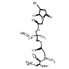 CN(CC(=O)OCC(C)(COC(=O)CN1C(=O)C=C(Br)C1=O)C(=O)O)C(=O)/C(Br)=C\C=O